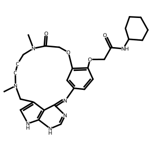 CN1CCCN(C)C(=O)COc2cc(ccc2OCC(=O)NC2CCCCC2)/N=C2/N=CNc3[nH]cc(c32)C1